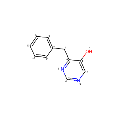 Oc1cncnc1Cc1ccccc1